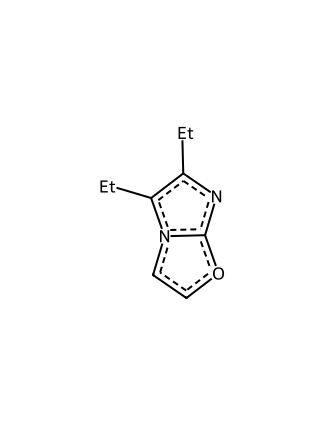 CCc1nc2occn2c1CC